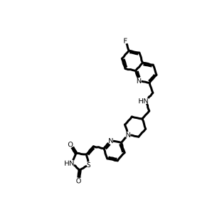 O=C1NC(=O)/C(=C/c2cccc(N3CCC(CNCc4ccc5cc(F)ccc5n4)CC3)n2)S1